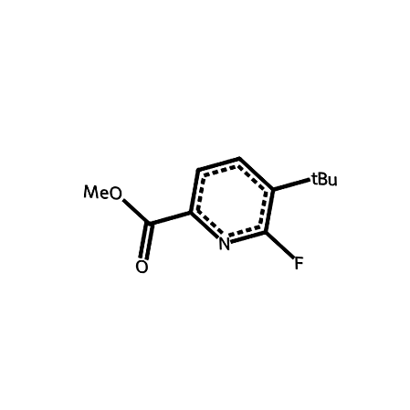 COC(=O)c1ccc(C(C)(C)C)c(F)n1